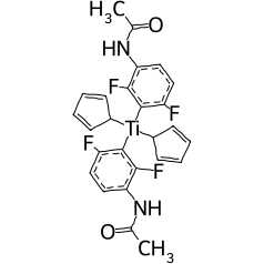 CC(=O)Nc1ccc(F)[c]([Ti]([c]2c(F)ccc(NC(C)=O)c2F)([CH]2C=CC=C2)[CH]2C=CC=C2)c1F